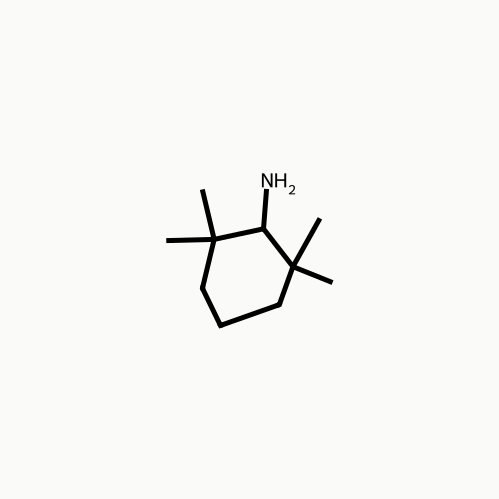 CC1(C)CCCC(C)(C)C1N